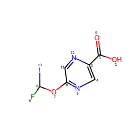 O=C(O)c1cnc(OC(F)I)cn1